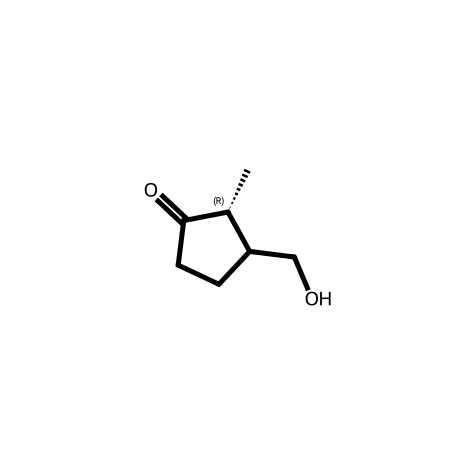 C[C@H]1C(=O)CCC1CO